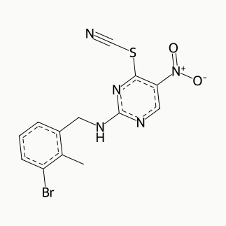 Cc1c(Br)cccc1CNc1ncc([N+](=O)[O-])c(SC#N)n1